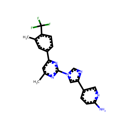 Cc1cc(-c2ccc(C(F)(F)F)c(C)c2)nc(-n2cnc(-c3ccc(N)nc3)c2)n1